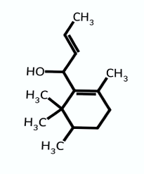 C/C=C/C(O)C1=C(C)CCC(C)C1(C)C